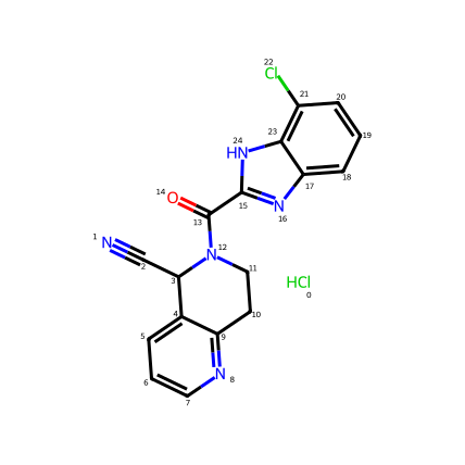 Cl.N#CC1c2cccnc2CCN1C(=O)c1nc2cccc(Cl)c2[nH]1